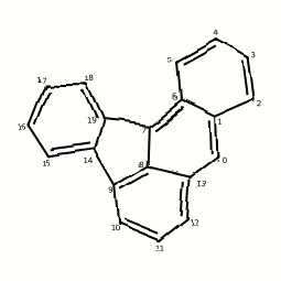 [c]1c2ccccc2c2c3c(cccc13)-c1ccccc1-2